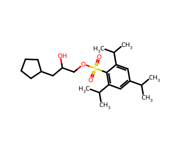 CC(C)c1cc(C(C)C)c(S(=O)(=O)OCC(O)CC2CCCC2)c(C(C)C)c1